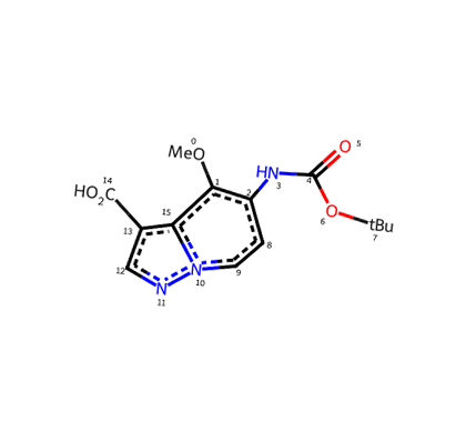 COc1c(NC(=O)OC(C)(C)C)ccn2ncc(C(=O)O)c12